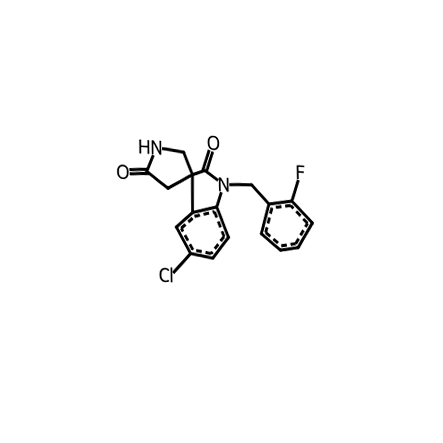 O=C1CC2(CN1)C(=O)N(Cc1ccccc1F)c1ccc(Cl)cc12